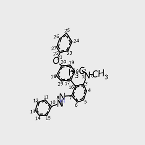 CN(C)c1cccc(/N=N/c2ccccc2)c1-c1ccc(Oc2ccccc2)cc1